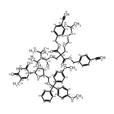 C#Cc1ccc(COC(=O)C(COCSSC(C)C)(COP(O[C@H]2C[C@H](n3cc(C)c(=O)[nH]c3=O)O[C@@H]2COC(c2ccccc2)(c2ccc(OC)cc2)c2ccc(OC)cc2)N(C(C)C)C(C)C)C(=O)OCc2ccc(C#C)cc2)cc1